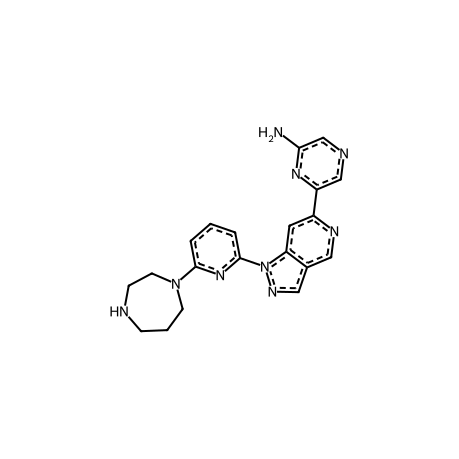 Nc1cncc(-c2cc3c(cn2)cnn3-c2cccc(N3CCCNCC3)n2)n1